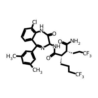 Cc1cc(C)cc(C2=NC(NC(=O)[C@@H](CCCC(F)(F)F)[C@@H](CCC(F)(F)F)C(N)=O)C(=O)Nc3c(Cl)cccc32)c1